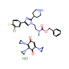 CN(CCn1cc(-c2ccc(F)c(Cl)c2)nc1C1CCNCC1)C(=O)OCc1ccccc1.Cl.O=C1C=C(N2CC2)C(=O)C(N2CC2)=C1N1CC1